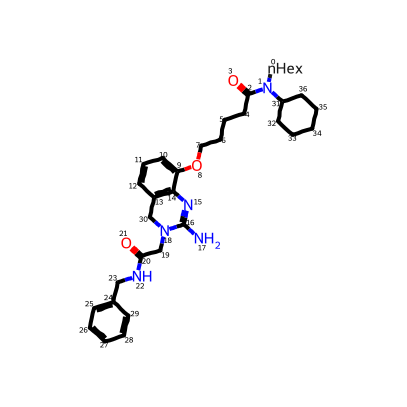 CCCCCCN(C(=O)CCCCOc1cccc2c1N=C(N)N(CC(=O)NCc1ccccc1)C2)C1CCCCC1